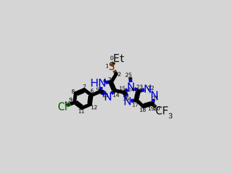 CCSCc1[nH]c(-c2ccc(Cl)cc2)nc1-c1nc2cc(C(F)(F)F)nnc2n1C